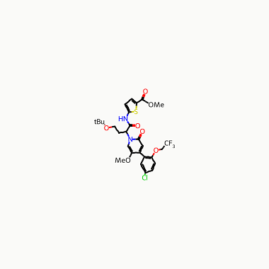 COC(=O)c1ccc(NC(=O)C(CCOC(C)(C)C)n2cc(OC)c(-c3cc(Cl)ccc3OCC(F)(F)F)cc2=O)s1